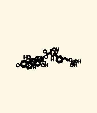 C[C@]12C=CC(=O)C=C1CC[C@H]1[C@@H]3C[C@@H](O)[C@](O)(C(=O)COC(=O)C(CO)NC(=O)c4cccc(CCON(O)O)c4)[C@@]3(C)C[C@H](O)[C@@]12F